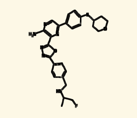 CC(CF)NCc1ccc(-c2nnc(-c3nc(-c4ccc(SC5CCOCC5)cc4)cnc3N)o2)cc1